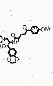 COc1ccc(C(=O)CCCC(=O)NC(CN2CCCC2)[C@H](O)c2ccc3c(c2)OCCO3)cc1